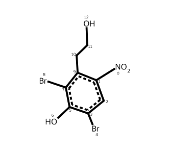 O=[N+]([O-])c1cc(Br)c(O)c(Br)c1CCO